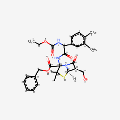 CC(=O)Oc1ccc(C(NC(=O)OCC(Cl)(Cl)Cl)C(=O)N[C@@]2(C(=O)OCc3ccccc3)N3C(=O)[C@@H](CO)[C@H]3SC2(C)C)cc1OC(C)=O